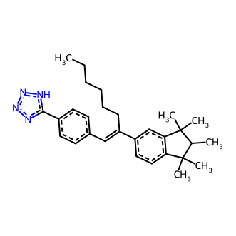 CCCCCCC(=Cc1ccc(-c2nnn[nH]2)cc1)c1ccc2c(c1)C(C)(C)C(C)C2(C)C